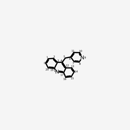 c1ccc2c(Cc3ccncc3)c3ccccc3nc2c1